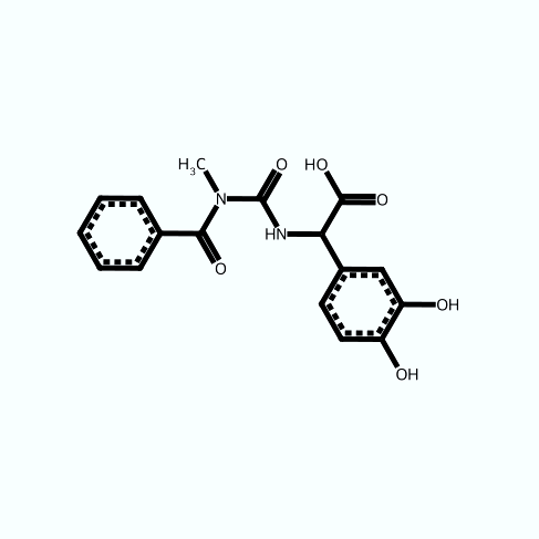 CN(C(=O)NC(C(=O)O)c1ccc(O)c(O)c1)C(=O)c1ccccc1